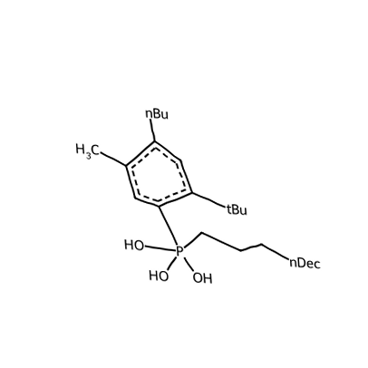 CCCCCCCCCCCCCP(O)(O)(O)c1cc(C)c(CCCC)cc1C(C)(C)C